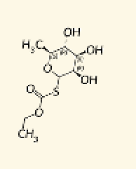 CCOC(=O)SC1O[C@@H](C)[C@H](O)[C@@H](O)[C@H]1O